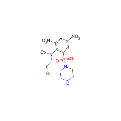 [CH2]CN(CCBr)c1c([N+](=O)[O-])cc([N+](=O)[O-])cc1S(=O)(=O)N1CCNCC1